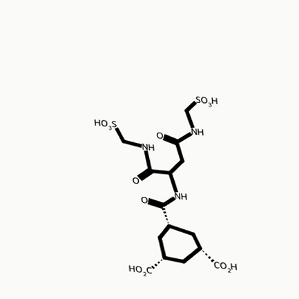 O=C(CC(NC(=O)[C@@H]1C[C@H](C(=O)O)C[C@H](C(=O)O)C1)C(=O)NCS(=O)(=O)O)NCS(=O)(=O)O